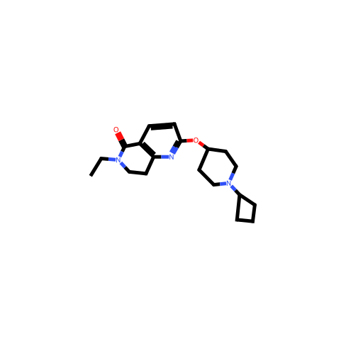 CCN1CCc2nc(OC3CCN(C4CCC4)CC3)ccc2C1=O